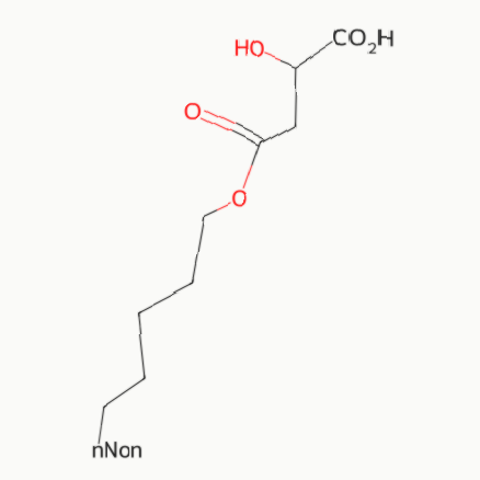 CCCCCCCCCCCCCCOC(=O)CC(O)C(=O)O